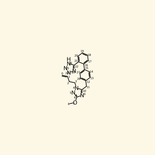 C=CCCn1nc(OC)nc1Cc1ccc(-c2ccccc2-c2nnn[nH]2)cc1